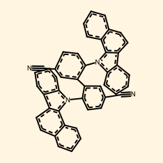 N#Cc1ccc(-n2c3ccccc3c3ccc4ccccc4c32)c(-c2cc(C#N)ccc2-n2c3ccccc3c3ccc4ccccc4c32)c1